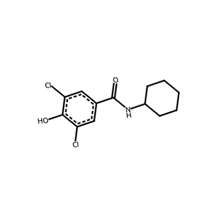 O=C(NC1CCCCC1)c1cc(Cl)c(O)c(Cl)c1